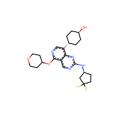 O[C@H]1CC[C@H](c2cnc(OC3CCOCC3)c3cnc(N[C@H]4CCC(F)(F)C4)nc32)CC1